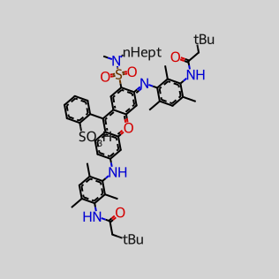 CCCCCCCN(C)S(=O)(=O)c1cc2c(-c3ccccc3S(=O)(=O)O)c3ccc(Nc4c(C)cc(C)c(NC(=O)CC(C)(C)C)c4C)cc3oc-2c/c1=N\c1c(C)cc(C)c(NC(=O)CC(C)(C)C)c1C